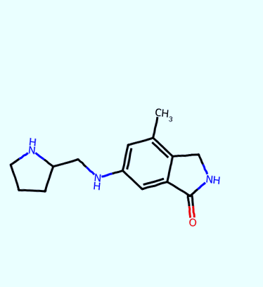 Cc1cc(NCC2CCCN2)cc2c1CNC2=O